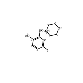 C1COCCN1.Cc1ccc(O)c([N+](=O)[O-])c1